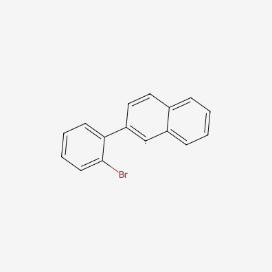 Brc1ccccc1-c1[c]c2ccccc2cc1